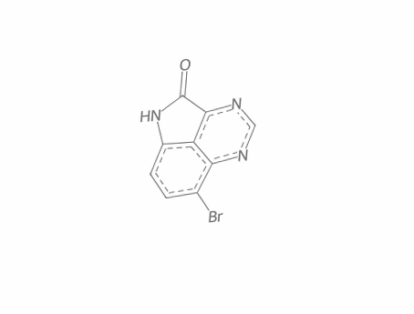 O=C1Nc2ccc(Br)c3ncnc1c23